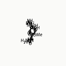 COC1COP(=O)(O)OC2C(COP(=O)(O)O[C@@H]1/C=C/n1cnc3c(=O)[nH]c(N)nc31)CC(n1cnc3c(N)ncnc31)C2O